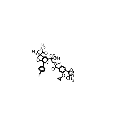 Cc1ncoc1-c1ccc(C(=O)NC[C@](O)(c2cc3c(c(-c4ccc(F)cc4)n2)OC[C@]3(C)C(N)=O)C(F)(F)F)cc1OC1CC1